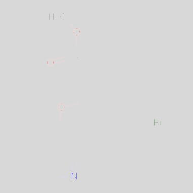 COC(=O)c1ccc(Br)cc1Oc1cccnc1